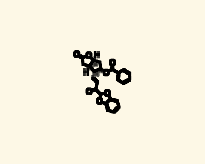 O=C1C[C@@H]2[C@@H](C=CC(=O)C3Oc4ccccc4O3)[C@H](OC(=O)c3ccccc3)C[C@@H]2O1